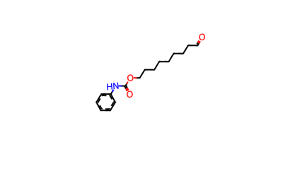 O=CCCCCCCCCOC(=O)Nc1ccccc1